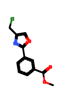 COC(=O)c1cccc(-c2nc(CCl)co2)c1